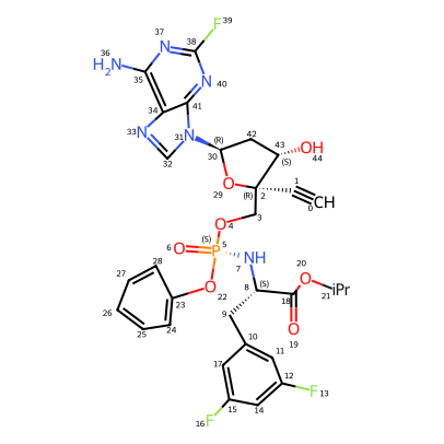 C#C[C@]1(CO[P@@](=O)(N[C@@H](Cc2cc(F)cc(F)c2)C(=O)OC(C)C)Oc2ccccc2)O[C@@H](n2cnc3c(N)nc(F)nc32)C[C@@H]1O